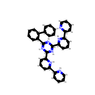 c1ccc(-c2ccccc2-c2nc(-c3cccc(-c4ccccn4)n3)nc(-c3cccc(-c4ccccn4)n3)n2)cc1